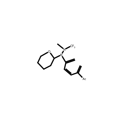 C=C(/C=C\C(=C)N(C1CCCCO1)N(C)C(F)(F)F)C(C)=O